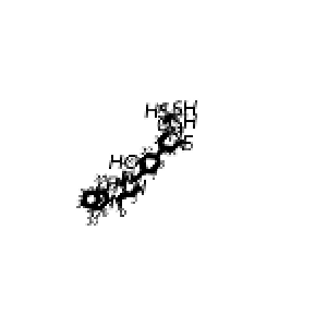 CN(c1cnc(-c2ccc(-c3cc(F)nc(OC(S)(S)S)c3)cc2O)nn1)[C@H]1C[C@]2(C)CC[C@@](C)(C2)[C@H]1F